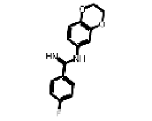 N=C(Nc1ccc2c(c1)OCCO2)c1ccc(F)cc1